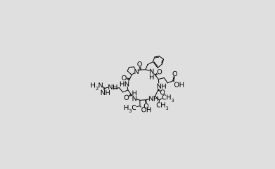 CC(C)C1NC(=O)C(C(C)O)NC(=O)C(CCCNC(=N)N)NC(=O)C2CCCN2C(=O)C(Cc2ccccc2)NC(=O)C(CCC(=O)O)NC1=O